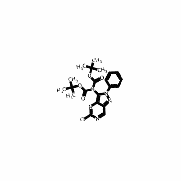 CC(C)(C)OC(=O)N(C(=O)OC(C)(C)C)c1c2nc(Cl)ncc2nn1-c1ccccc1